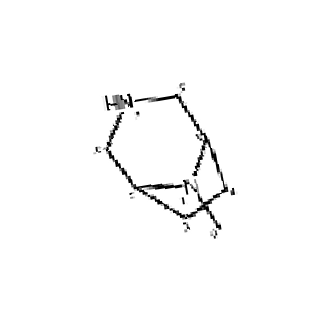 CN1C2CCC1CNC2